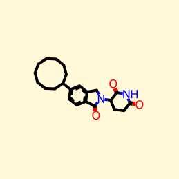 O=C1CCC(N2Cc3cc(C4CCCCCCCCC4)ccc3C2=O)C(=O)N1